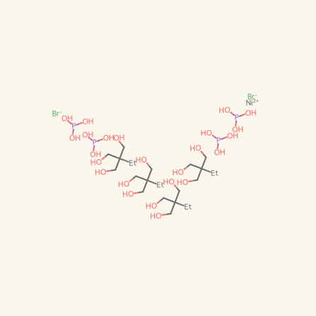 CCC(CO)(CO)CO.CCC(CO)(CO)CO.CCC(CO)(CO)CO.CCC(CO)(CO)CO.OP(O)O.OP(O)O.OP(O)O.OP(O)O.[Br-].[Br-].[Ni+2]